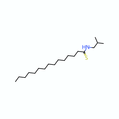 CCCCCCCCCCCCCCC(=S)NCC(C)C